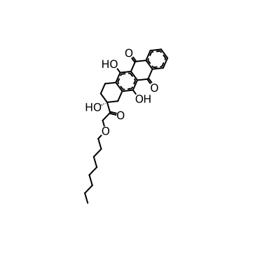 CCCCCCCCOCC(=O)[C@@]1(O)CCc2c(O)c3c(c(O)c2C1)C(=O)c1ccccc1C3=O